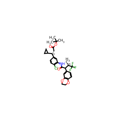 C[C@H](C(C(=O)Nc1cc([C@@H](CC(=O)OC(C)(C)C)C2CC2)ccc1Cl)c1ccc2c(c1)OCCO2)C(F)(F)F